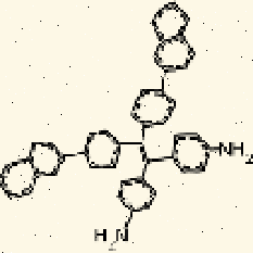 Nc1ccc(C(=C(c2ccc(-c3ccc4ccccc4c3)cc2)c2ccc(-c3ccc4ccccc4c3)cc2)c2ccc(N)cc2)cc1